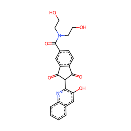 O=C1c2ccc(C(=O)N(CCO)CCO)cc2C(=O)C1c1nc2ccccc2cc1O